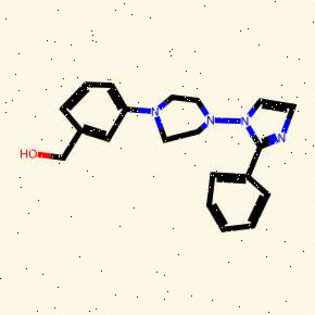 OCc1cccc(N2CCN(n3ccnc3-c3ccccc3)CC2)c1